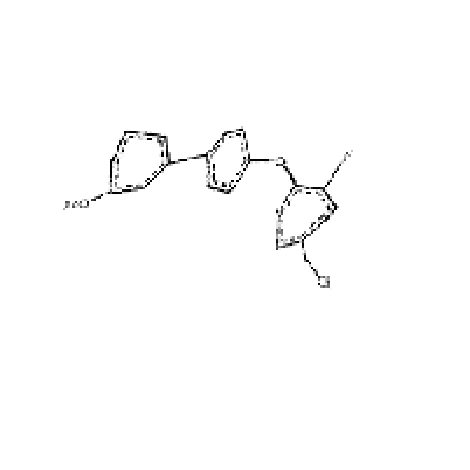 CC(=O)Oc1cccc(-c2ccc(Oc3ncc(Cl)cc3F)cc2)c1